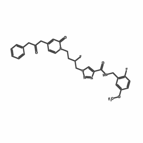 O=C(Cc1ccccc1)Cc1ccn(CCC(F)Cn2cc(C(=O)NCc3cc(OC(F)(F)F)ccc3F)nn2)c(=O)c1